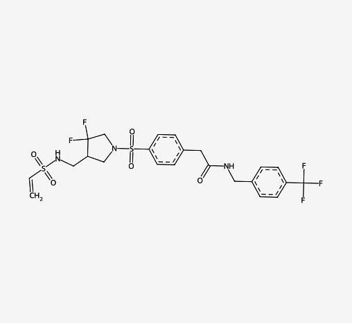 C=CS(=O)(=O)NCC1CN(S(=O)(=O)c2ccc(CC(=O)NCc3ccc(C(F)(F)F)cc3)cc2)CC1(F)F